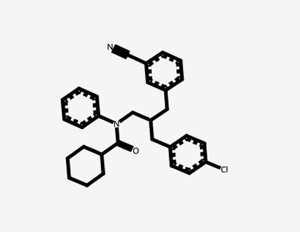 N#Cc1cccc(CC(Cc2ccc(Cl)cc2)CN(C(=O)C2CCCCC2)c2ccccc2)c1